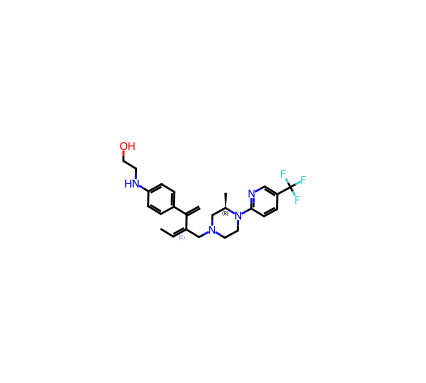 C=C(/C(=C\C)CN1CCN(c2ccc(C(F)(F)F)cn2)[C@H](C)C1)c1ccc(NCCO)cc1